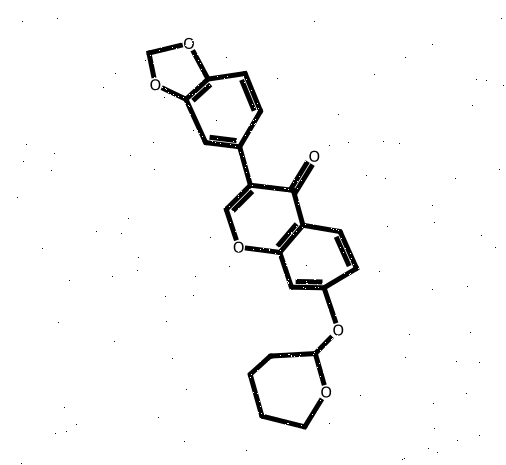 O=c1c(-c2ccc3c(c2)OCO3)coc2cc(OC3CCCCO3)ccc12